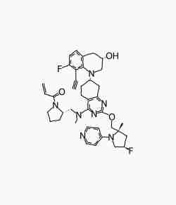 C#Cc1c(F)ccc2c1N([C@H]1CCc3c(nc(OC[C@]4(C)C[C@@H](F)CN4c4ccncc4)nc3N(C)C[C@@H]3CCCN3C(=O)C=C)C1)C[C@@H](O)C2